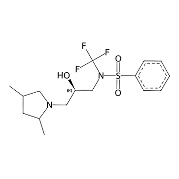 CC1CC(C)N(C[C@@H](O)CN(C(F)(F)F)S(=O)(=O)c2ccccc2)C1